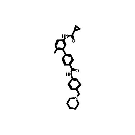 Cc1ccc(NC(=O)C2CC2)cc1-c1ccc(C(=O)Nc2ccc(CN3CCCCC3)cc2)cc1